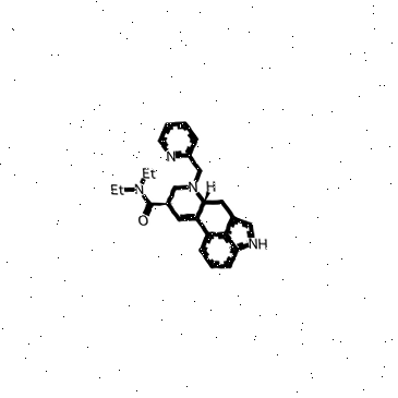 CCN(CC)C(=O)[C@@H]1C=C2c3cccc4[nH]cc(c34)C[C@H]2N(Cc2ccccn2)C1